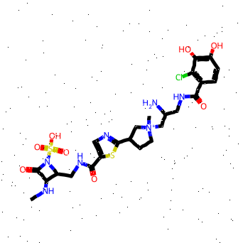 CNC1C(=O)N(S(=O)(=O)O)C1CNC(=O)c1cnc(C2CC[N+](C)(CC(N)CNC(=O)c3ccc(O)c(O)c3Cl)C2)s1